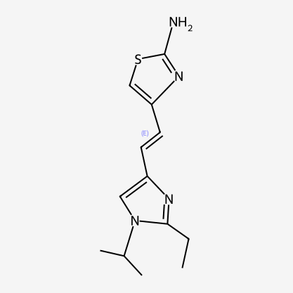 CCc1nc(/C=C/c2csc(N)n2)cn1C(C)C